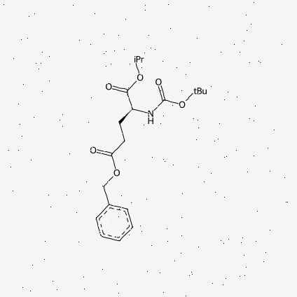 CC(C)OC(=O)[C@H](CCC(=O)OCc1ccccc1)NC(=O)OC(C)(C)C